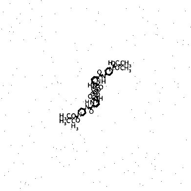 CC(C)(C)OC(=O)N1CCC(NC(=O)[C@@H]2C=C[C@@H]3CN2C(=O)N3OS(=O)(=O)ON2C(=O)N3C[C@H]2C=C[C@H]3C(=O)NC2CCN(C(=O)OC(C)(C)C)CC2)CC1